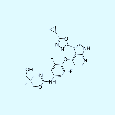 C[C@]1(CO)CN=C(Nc2cc(F)c(Oc3ccnc4[nH]cc(-c5nnc(C6CC6)o5)c34)c(F)c2)OC1